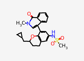 Cn1cc(-c2cc(NS(C)(=O)=O)cc3c2OC(CC2CC2)CC3)c2ccccc2c1=O